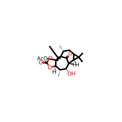 CC(=O)OC1C(C)=C[C@]23C(=O)[C@@H]([C@H](O)[C@H](C)[C@H]4OC(=O)O[C@]142)[C@H]1C(C[C@H]3C)C1(C)C